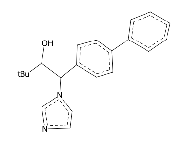 CC(C)(C)C(O)C(c1ccc(-c2ccccc2)cc1)n1ccnc1